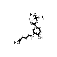 C#CCCCN[C@H]1CN(C(=O)OC(C)(C)C)CC[C@H]1O